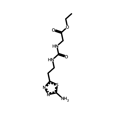 CCOC(=O)CNC(=O)NCCc1nnc(N)s1